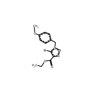 CCOC(=O)c1nnn(Cc2ccc(OC)cc2)c1Br